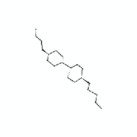 CCCCC[C@H]1CC[C@H]([C@H]2CC[C@H](CCCF)CC2)CC1